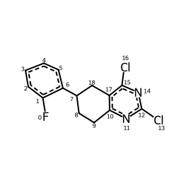 Fc1ccccc1C1CCc2nc(Cl)nc(Cl)c2C1